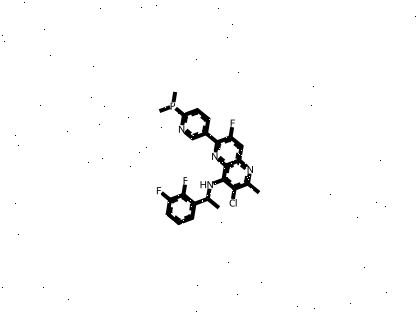 Cc1nc2cc(F)c(-c3ccc(P(C)C)nc3)nc2c(NC(C)c2cccc(F)c2F)c1Cl